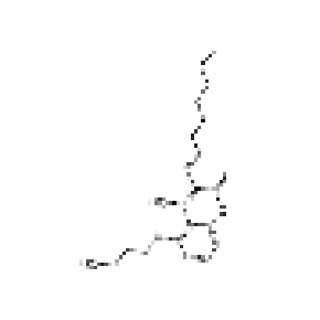 CCCCCCC=Cc1c(O)c2c(OCCCO)cccc2oc1=O